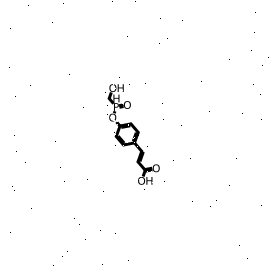 O=C(O)C=Cc1ccc(O[PH](=O)CO)cc1